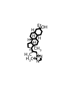 CC[C@@]1(O)CC[C@H]2[C@@H](CC[C@@H]3[C@@H]2CC[C@]2(C)[C@@H]([C@H](C)Cn4ncn[n+]4C)CC[C@@H]32)C1